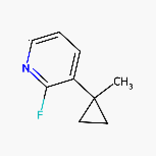 CC1(c2cc[c]nc2F)CC1